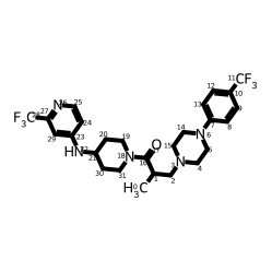 CC(CN1CCN(c2ccc(C(F)(F)F)cc2)CC1)C(=O)N1CCC(Nc2ccnc(C(F)(F)F)c2)CC1